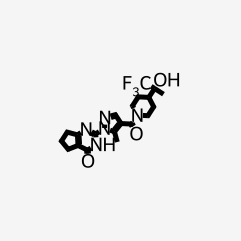 Cc1c(C(=O)N2CCC(C(C)(O)C(F)(F)F)CC2)cnn1-c1nc2c(c(=O)[nH]1)CCC2